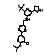 CC(C)Oc1ccc(-c2ncc(CNc3cc(-c4cc[nH]n4)nc(C(F)(F)F)c3)cn2)cc1Cl